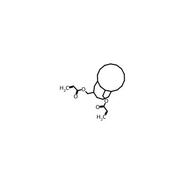 C=CC(=O)OCC1CCCC2CCCCCCCCCCC(C1)CC2COC(=O)C=C